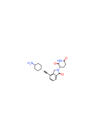 N[C@H]1CC[C@H](C#Cc2cccc3c2CN(C2CCC(=O)NC2=O)C3=O)CC1